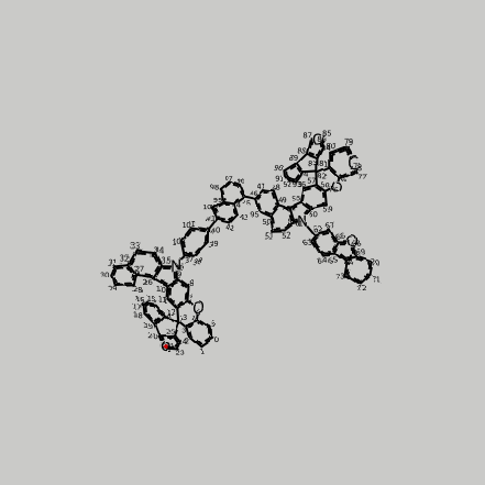 c1ccc2c(c1)Oc1cc3c(cc1C21c2ccccc2-c2ccccc21)c1c2ccccc2ccc1n3-c1ccc(-c2ccc3c(-c4ccc5c(ccc6c5c5cc7c(cc5n6-c5ccc6c(c5)oc5ccccc56)Oc5ccccc5C75c6ccccc6-c6ccccc65)c4)cccc3c2)cc1